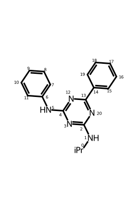 CC(C)Nc1nc(Nc2ccccc2)nc(-c2ccccc2)n1